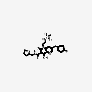 CS(=O)(=O)NCCn1c(=O)c(C(=O)NCC2CCCO2)c(O)c2ncc(Cc3ccc(F)cc3)cc21